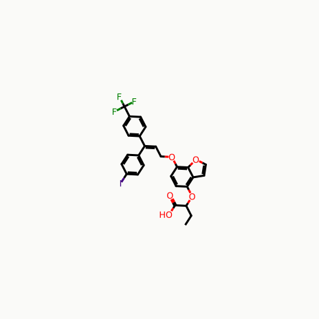 CCC(Oc1ccc(OC/C=C(\c2ccc(I)cc2)c2ccc(C(F)(F)F)cc2)c2occc12)C(=O)O